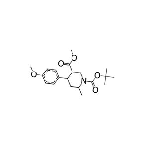 COC(=O)C1CN(C(=O)OC(C)(C)C)C(C)CC1c1ccc(OC)cc1